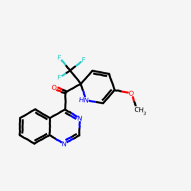 COC1=CNC(C(=O)c2ncnc3ccccc23)(C(F)(F)F)C=C1